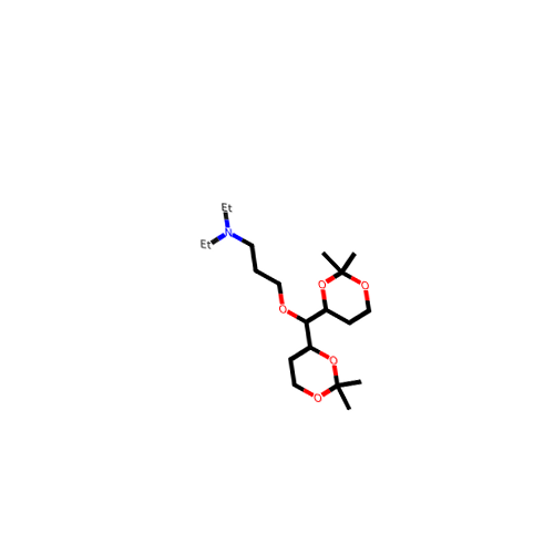 CCN(CC)CCCOC(C1CCOC(C)(C)O1)C1CCOC(C)(C)O1